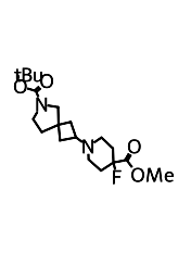 COC(=O)C1(F)CCN(C2CC3(CCN(C(=O)OC(C)(C)C)C3)C2)CC1